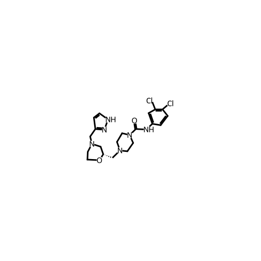 O=C(Nc1ccc(Cl)c(Cl)c1)N1CCN(C[C@H]2CN(Cc3cc[nH]n3)CCO2)CC1